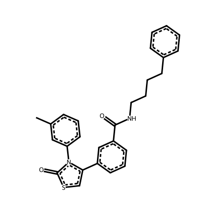 Cc1cccc(-n2c(-c3cccc(C(=O)NCCCCc4ccccc4)c3)csc2=O)c1